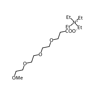 CC[N+](CC)(CC)CC.COCCOCCOCCOCCC(=O)[O-]